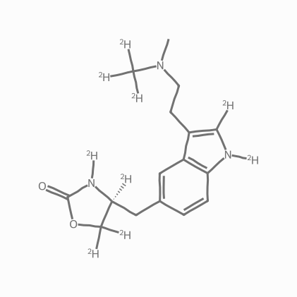 [2H]c1c(CCN(C)C([2H])([2H])[2H])c2cc(C[C@]3([2H])N([2H])C(=O)OC3([2H])[2H])ccc2n1[2H]